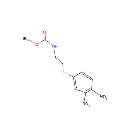 CC(C)(C)OC(=O)NCCSc1ccc([N+](=O)[O-])c([N+](=O)[O-])c1